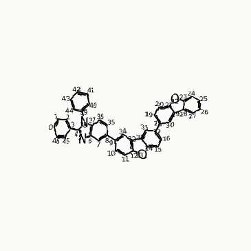 c1ccc(-c2nc3cc(-c4ccc5oc6ccc(-c7ccc8oc9ccccc9c8c7)cc6c5c4)ccc3n2-c2ccccc2)cc1